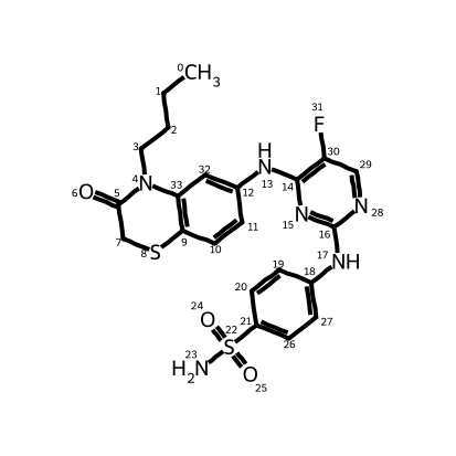 CCCCN1C(=O)CSc2ccc(Nc3nc(Nc4ccc(S(N)(=O)=O)cc4)ncc3F)cc21